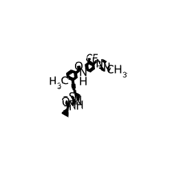 Cc1ccc(C(=O)Nc2ccc(CN3CCN(C)CC3)c(C(F)(F)F)c2)cc1C#Cc1cnc(NC(=O)C2CC2)s1